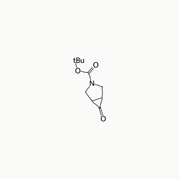 CC(C)(C)OC(=O)N1CC2C(=O)C2C1